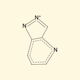 C1=[N+]=Nc2cccnc21